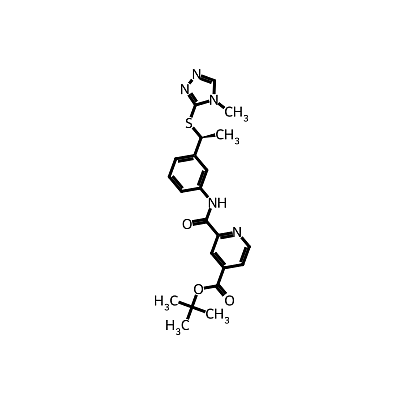 C[C@H](Sc1nncn1C)c1cccc(NC(=O)c2cc(C(=O)OC(C)(C)C)ccn2)c1